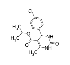 CC1=C(C(=O)OC(C)C)C(c2ccc(Cl)cc2)NC(=O)N1